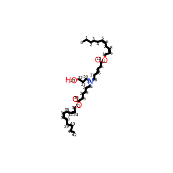 CCCCC/C=C\C/C=C\COC(=O)CCCCCN(CCCO)CCCCCC(=O)OC/C=C\C/C=C\CCCCC